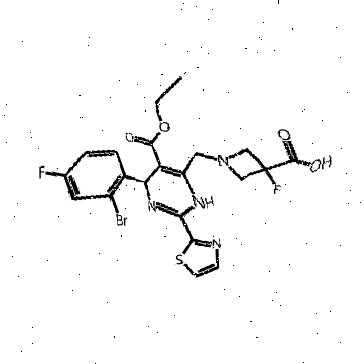 CCOC(=O)C1=C(CN2CC(F)(C(=O)O)C2)NC(c2nccs2)=N[C@H]1c1ccc(F)cc1Br